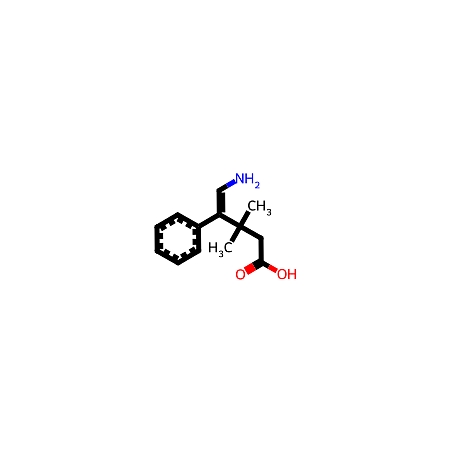 CC(C)(CC(=O)O)C(=CN)c1ccccc1